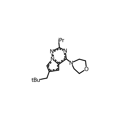 CC(C)c1nc(N2CCOCC2)c2cc(CC(C)(C)C)cn2n1